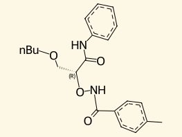 CCCCOC[C@@H](ONC(=O)c1ccc(C)cc1)C(=O)Nc1ccccc1